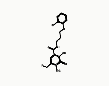 Cn1c(CF)cc(C(=O)NCCCOc2ccccc2Cl)c(O)c1=O